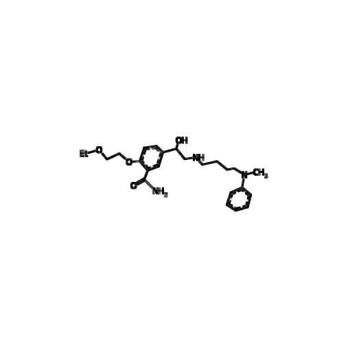 CCOCCOc1ccc(C(O)CNCCCCN(C)c2ccccc2)cc1C(N)=O